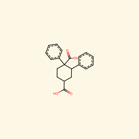 O=C(O)C1CCC(C(=O)O)(c2ccccc2)C(c2ccccc2)C1